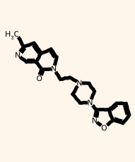 Cc1cc2ccn(CCN3CCN(c4noc5ccccc45)CC3)c(=O)c2cn1